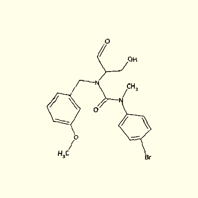 COc1cccc(CN(C(=O)N(C)c2ccc(Br)cc2)C(C=O)CO)c1